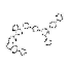 c1ccc(-c2ccc(-c3cc(-c4ccc(-c5cccc(-c6ccc(-c7ccc8ccc9ccc(-c%10ccccc%10)nc9c8n7)c7ccccc67)c5)cc4)cc(-c4ccccc4)n3)cc2)cc1